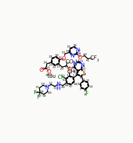 Cc1c(-c2c(-c3ccc(F)cc3)sc3ncnc(OC(Cc4cc(CC(=O)OC(C)(C)C)ccc4OCc4ccnc(OCCC(F)(F)F)n4)C(=O)O)c23)ccc(CNCCN2CCC(F)(F)CC2)c1Cl